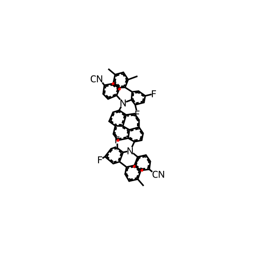 [C-]#[N+]c1ccc(N(c2c(F)cc(F)cc2-c2ccc(C)cc2C)c2ccc3ccc4c(N(c5ccc(C#N)cc5)c5c(F)cc(F)cc5-c5ccc(C)cc5C)ccc5ccc2c3c54)cc1